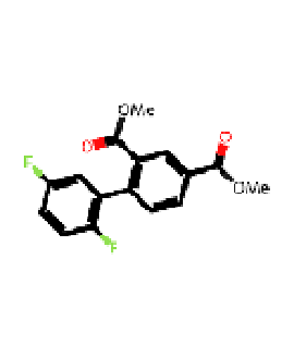 COC(=O)c1ccc(-c2cc(F)ccc2F)c(C(=O)OC)c1